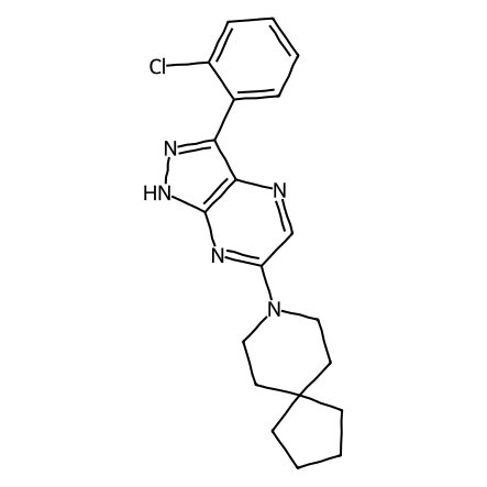 Clc1ccccc1-c1n[nH]c2nc(N3CCC4(CCCC4)CC3)cnc12